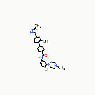 Cc1nnc(-c2ccc(-c3ccc(C(=O)Nc4ccc(Cl)c(N5CCN(C)CC5)c4)cc3)c(C)c2)o1